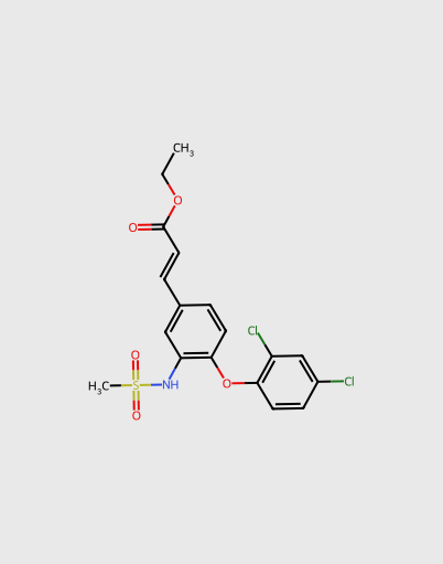 CCOC(=O)C=Cc1ccc(Oc2ccc(Cl)cc2Cl)c(NS(C)(=O)=O)c1